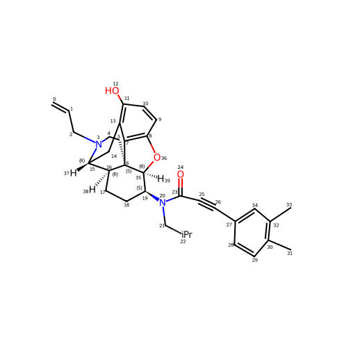 C=CCN1CC[C@@]23c4c5ccc(O)c4C[C@@H]1[C@@H]2CC[C@H](N(CC(C)C)C(=O)C#Cc1ccc(C)c(C)c1)[C@@H]3O5